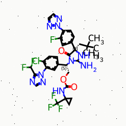 CC(C)(C)C[C@]1(c2ccc(-n3nccn3)c(F)c2)NC(N)N([C@H](COC(=O)NC2(C(F)(F)F)CC2)c2ccc(Cl)c(-n3ncnc3C(F)F)c2)C1=O